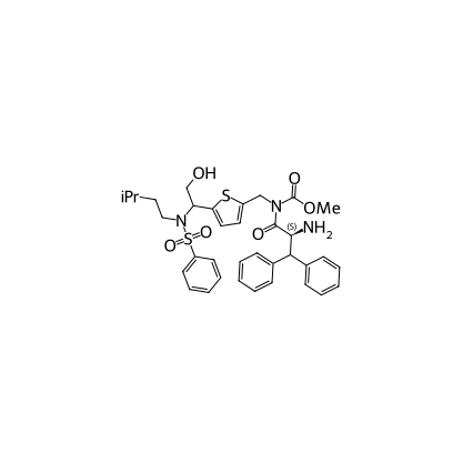 COC(=O)N(Cc1ccc(C(CO)N(CCC(C)C)S(=O)(=O)c2ccccc2)s1)C(=O)[C@@H](N)C(c1ccccc1)c1ccccc1